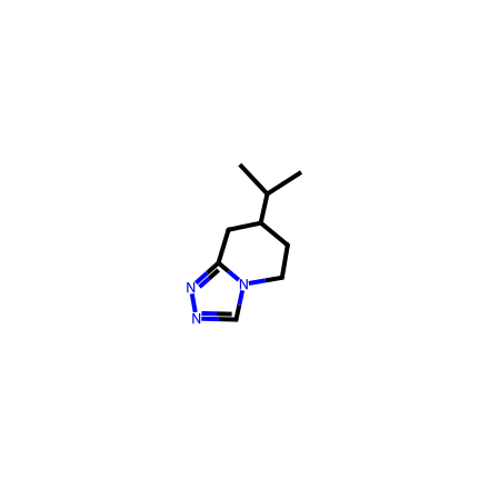 CC(C)C1CCn2cnnc2C1